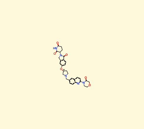 O=C1CCC(N2Cc3cc(O[C@H]4CCN(Cc5ccc6nc(N7CCOCC7=O)ccc6c5)C4)ccc3C2=O)C(=O)N1